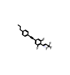 CCCc1ccc(C#Cc2cc(F)c(/C=C/C(F)(F)F)c(F)c2)cc1